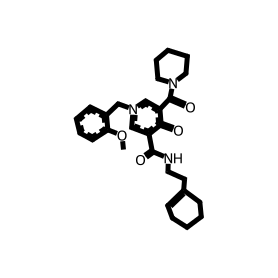 COc1ccccc1Cn1cc(C(=O)NCCC2=CCCCC2)c(=O)c(C(=O)N2CCCCC2)c1